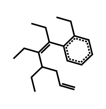 C=CC[C](CC)C(CC)=C(CC)c1ccccc1CC